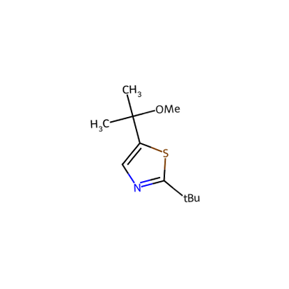 COC(C)(C)c1cnc(C(C)(C)C)s1